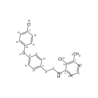 Cc1ncnc(NCCc2ccc(Oc3ccc(Cl)cc3)cc2)c1Cl